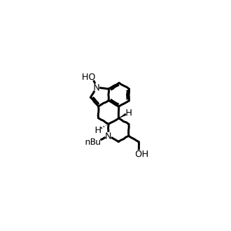 CCCCN1CC(CO)C[C@H]2c3cccc4c3c(cn4O)C[C@@H]21